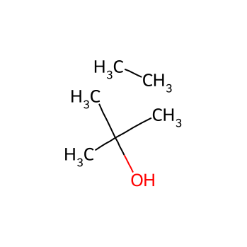 CC.CC(C)(C)O